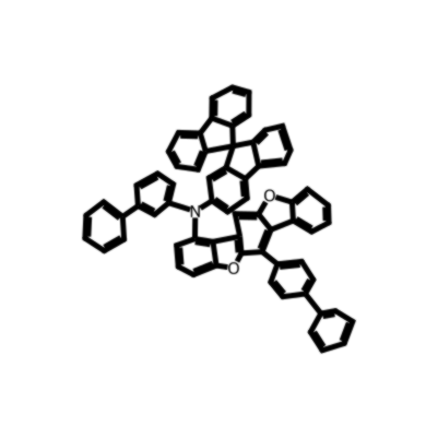 c1ccc(-c2ccc(-c3c4oc5cccc(N(c6cccc(-c7ccccc7)c6)c6ccc7c(c6)C6(c8ccccc8-c8ccccc86)c6ccccc6-7)c5c4cc4oc5ccccc5c34)cc2)cc1